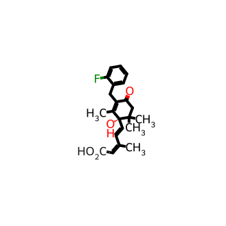 CC1=C(Cc2ccccc2F)C(=O)CC(C)(C)[C@@]1(O)/C=C/C(C)=C\C(=O)O